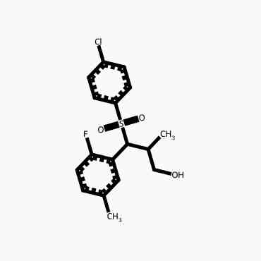 Cc1ccc(F)c(C(C(C)CO)S(=O)(=O)c2ccc(Cl)cc2)c1